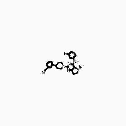 N#Cc1cccc(C2CCN(c3nc4c(c(Nc5cccc(F)c5)n3)[S+]([O-])CC4)CC2)c1